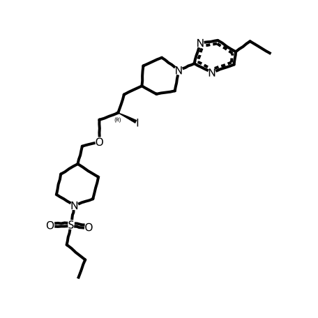 CCCS(=O)(=O)N1CCC(COC[C@H](I)CC2CCN(c3ncc(CC)cn3)CC2)CC1